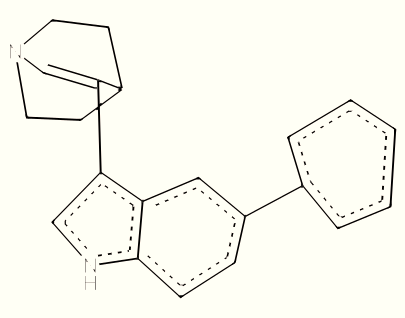 C1=C(c2c[nH]c3ccc(-c4ccccc4)cc23)C2CCN1CC2